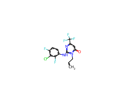 C=CCn1c(Nc2ccc(F)c(Cl)c2F)nc(C(F)(F)F)cc1=O